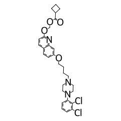 O=C(OCOc1ccc2ccc(OCCCCN3CCN(c4cccc(Cl)c4Cl)CC3)cc2n1)C1CCC1